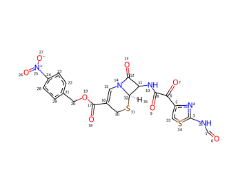 O=CNc1nc(C(=O)C(=O)NC2C(=O)N3C=C(C(=O)OCc4ccc([N+](=O)[O-])cc4)CS[C@H]23)cs1